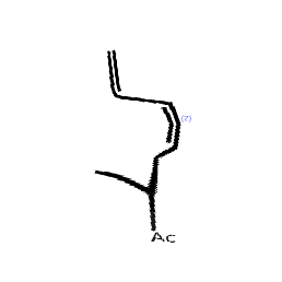 C=C/C=C\C(C)C(C)=O